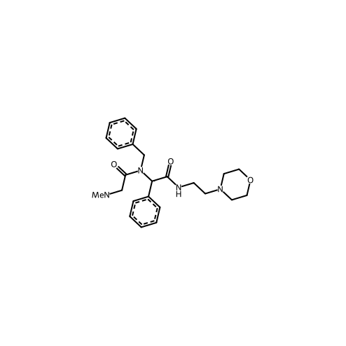 CNCC(=O)N(Cc1ccccc1)[C](C(=O)NCCN1CCOCC1)c1ccccc1